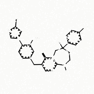 COc1cc(Cc2cnc3n(c2=O)CC(C)(c2ccc(F)cc2)CCN3I)ccc1-n1cnc(C)c1